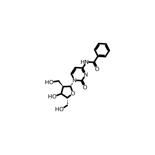 O=C(Nc1ccn([C@@H]2O[C@H](CO)C(O)[C@H]2CO)c(=O)n1)c1ccccc1